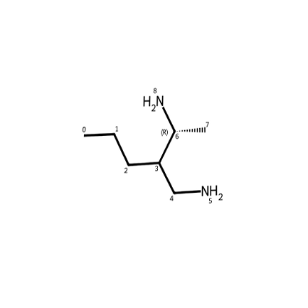 CCCC(CN)[C@@H](C)N